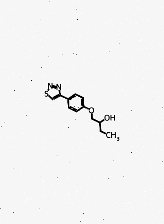 CCC(O)COc1ccc(-c2csnn2)cc1